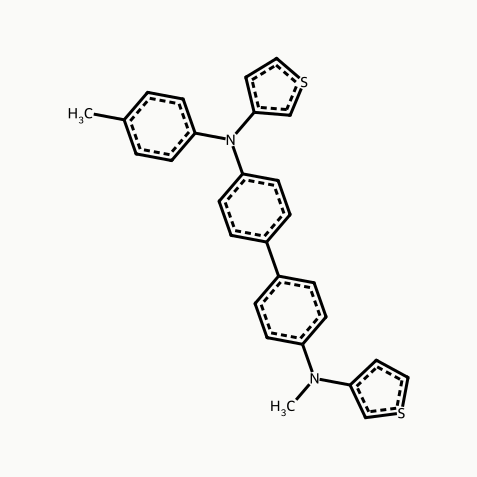 Cc1ccc(N(c2ccc(-c3ccc(N(C)c4ccsc4)cc3)cc2)c2ccsc2)cc1